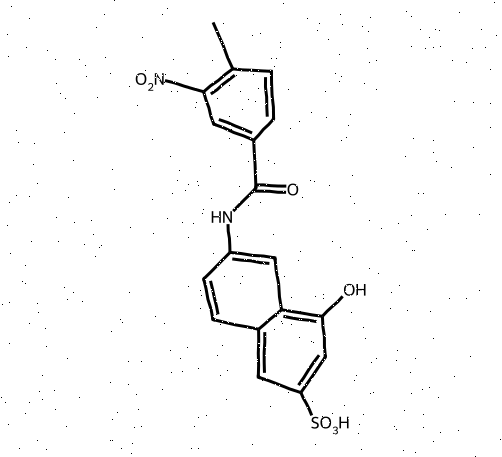 Cc1ccc(C(=O)Nc2ccc3cc(S(=O)(=O)O)cc(O)c3c2)cc1[N+](=O)[O-]